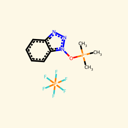 C[P+](C)(C)On1nnc2ccccc21.F[P-](F)(F)(F)(F)F